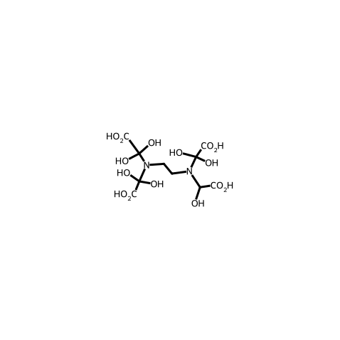 O=C(O)C(O)N(CCN(C(O)(O)C(=O)O)C(O)(O)C(=O)O)C(O)(O)C(=O)O